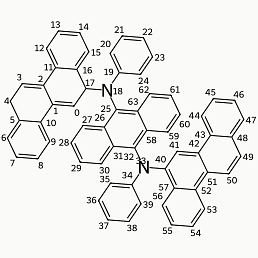 C1=C2C(=CCc3ccccc32)c2ccccc2C1N(c1ccccc1)c1c2ccccc2c(N(c2ccccc2)c2cc3c4ccccc4ccc3c3ccccc23)c2ccccc12